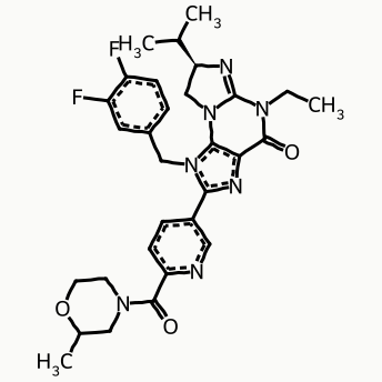 CCN1C(=O)c2nc(-c3ccc(C(=O)N4CCOC(C)C4)nc3)n(Cc3ccc(F)c(F)c3)c2N2C[C@@H](C(C)C)N=C12